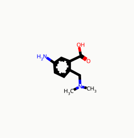 CN(C)Cc1ccc(N)cc1C(=O)O